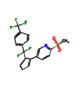 CS(=O)(=O)c1ccc(C2=CCC=C2C(F)(F)c2ccc(C(F)(F)F)cc2)cn1